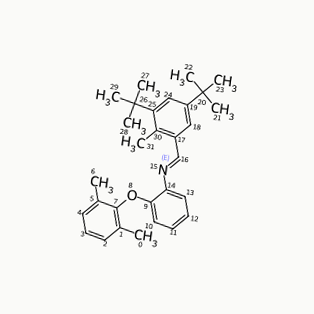 Cc1cccc(C)c1Oc1ccccc1/N=C/c1cc(C(C)(C)C)cc(C(C)(C)C)c1C